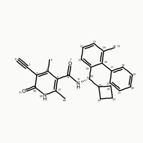 C#Cc1c(C)c(C(=O)N[C@H](c2cccc(F)c2-c2ccccc2)C2CCC2)c(C)[nH]c1=O